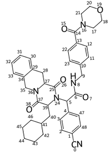 N#Cc1ccc(C(C(=O)NCc2ccc(C(=O)N3CCOCC3)cc2)N2C(=O)C3Cc4ccccc4CN3C(=O)C2CC2CCCCC2)cc1